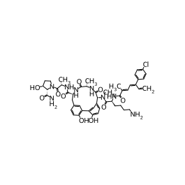 C=C/C(=C\C=C(/C)C(=O)N[C@@H](CCCCN)C(=O)N(C)[C@@H]1C(=O)N[C@@H](C)C(=O)N[C@H](C(=O)N[C@@H](C)C(=O)N2CC[C@H](O)[C@H]2C(N)=O)Cc2ccc(O)c(c2)-c2cc1ccc2O)c1ccc(Cl)cc1